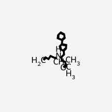 C=CCCC(=C)NC(Cc1ccc(-c2ccccc2)cc1)C[C@@H](C)C(C)=O